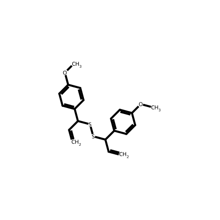 C=CC(SSC(C=C)c1ccc(OC)cc1)c1ccc(OC)cc1